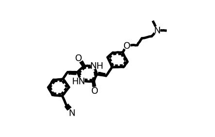 CN(C)CCCOc1ccc(/C=c2\[nH]c(=O)/c(=C/c3cccc(C#N)c3)[nH]c2=O)cc1